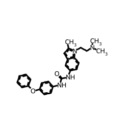 Cc1cc2cc(NC(=O)Nc3ccc(Oc4ccccc4)cc3)ccc2n1CCN(C)C